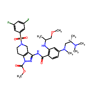 COCC(C)Nc1cc(N(C)C[C@H](C)N(C)C)ccc1C(=O)Nc1nn(C(=O)OC)c2c1CN(S(=O)(=O)c1cc(F)cc(F)c1)CC2